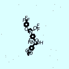 CCS(=O)(=O)c1ccc(C(CO)NC(=O)c2ccc(N3C[C@@H](Oc4ccc(C(F)(F)F)cc4)C[C@H]3COC(F)F)cc2F)cc1